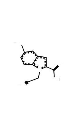 C#CCn1c(C(=O)O)cc2cc(C)ccc21